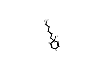 FC1(CCCCCBr)C=CCC=C1